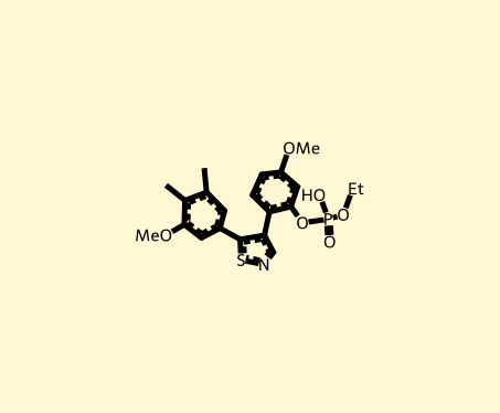 CCOP(=O)(O)Oc1cc(OC)ccc1-c1cnsc1-c1cc(C)c(C)c(OC)c1